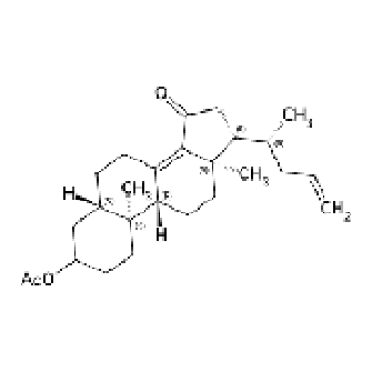 C=CC[C@@H](C)[C@H]1CC(=O)C2=C3CC[C@H]4CC(OC(C)=O)CC[C@]4(C)[C@H]3CC[C@@]21C